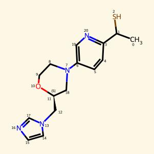 CC(S)c1ccc(N2CCO[C@H](Cn3ccnc3)C2)cn1